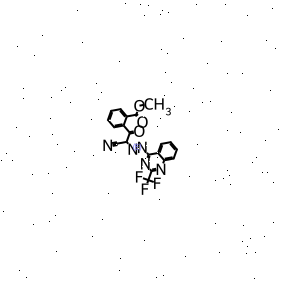 COC(=O)c1ccccc1C(=O)C(C#N)/N=N/c1nc(C(F)(F)F)nc2ccccc12